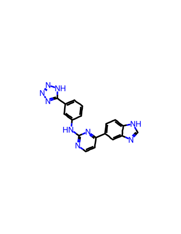 c1cc(Nc2nccc(-c3ccc4[nH]cnc4c3)n2)cc(-c2nnn[nH]2)c1